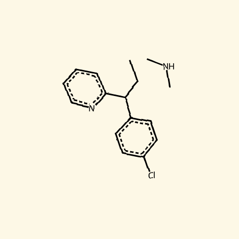 CCC(c1ccc(Cl)cc1)c1ccccn1.CNC